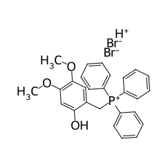 COc1cc(O)c(C[P+](c2ccccc2)(c2ccccc2)c2ccccc2)cc1OC.[Br-].[Br-].[H+]